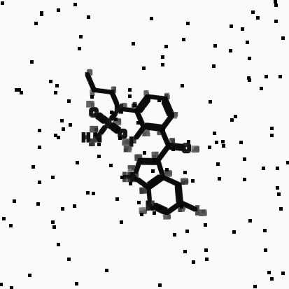 CCCN(c1cccc(C(=O)c2c[nH]c3ncc(I)cc23)c1F)S(N)(=O)=O